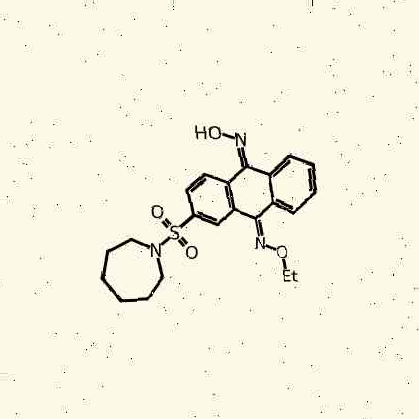 CCO/N=C1\c2ccccc2/C(=N/O)c2ccc(S(=O)(=O)N3CCCCCC3)cc21